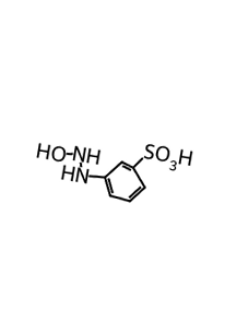 O=S(=O)(O)c1cccc(NNO)c1